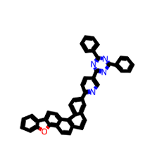 c1ccc(-c2nc(-c3ccccc3)nc(-c3ccc(-c4ccc5c(ccc6ccc7c(ccc8c9ccccc9oc87)c65)c4)nc3)n2)cc1